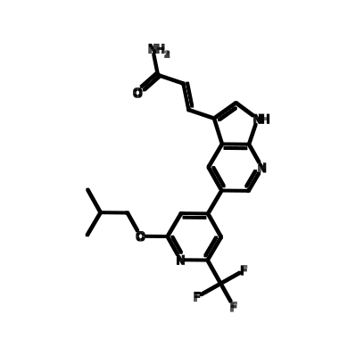 CC(C)COc1cc(-c2cnc3[nH]cc(C=CC(N)=O)c3c2)cc(C(F)(F)F)n1